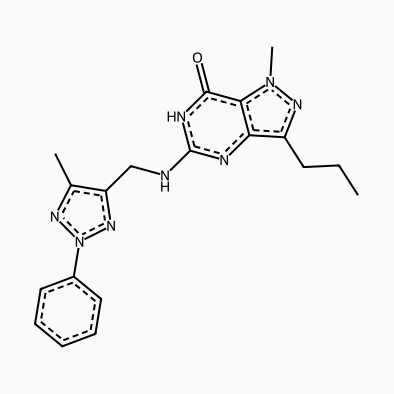 CCCc1nn(C)c2c(=O)[nH]c(NCc3nn(-c4ccccc4)nc3C)nc12